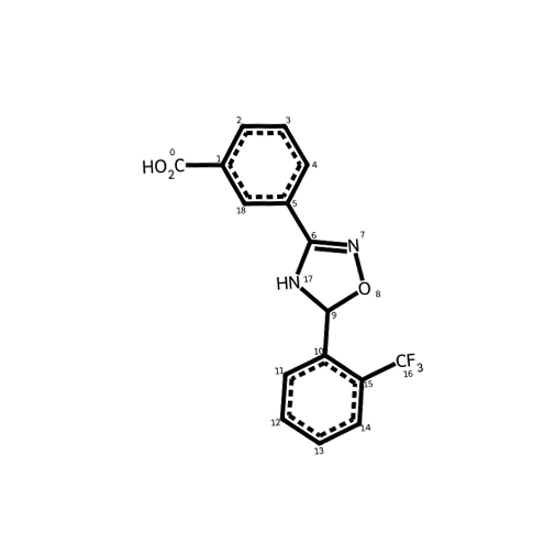 O=C(O)c1cccc(C2=NOC(c3ccccc3C(F)(F)F)N2)c1